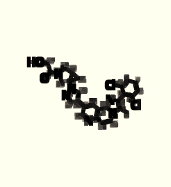 Cc1c(-c2c(Cl)cccc2Cl)nc2c3cc(-c4cnn(C56CC5CN(C(=O)CO)C6)c4)cnc3ccn12